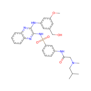 COc1cc(CO)cc(Nc2nc3ccccc3nc2NS(=O)(=O)c2cccc(NC(=O)CN(C)CC(C)C)c2)c1